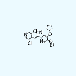 CCOc1cnc(C(C#N)=Cc2c(Cl)cncc2Cl)cc1OC1CCCC1